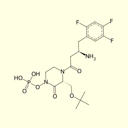 CC(C)(C)OC[C@@H]1C(=O)N(OP(=O)(O)O)CCN1C(=O)C[C@H](N)Cc1cc(F)c(F)cc1F